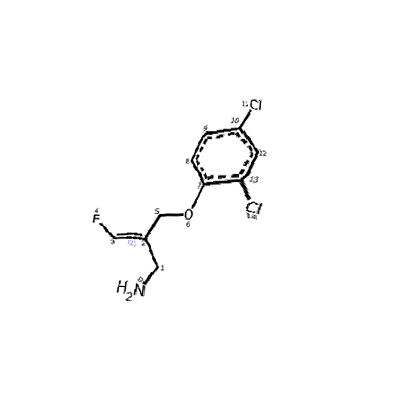 NC/C(=C/F)COc1ccc(Cl)cc1Cl